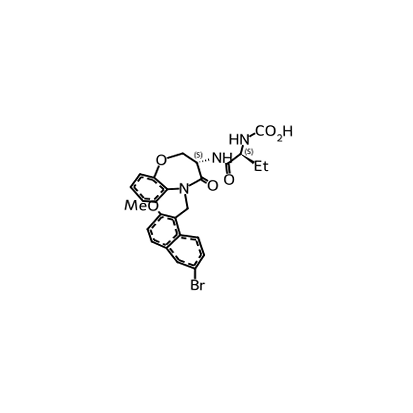 CC[C@H](NC(=O)O)C(=O)N[C@H]1COc2ccccc2N(Cc2c(OC)ccc3cc(Br)ccc23)C1=O